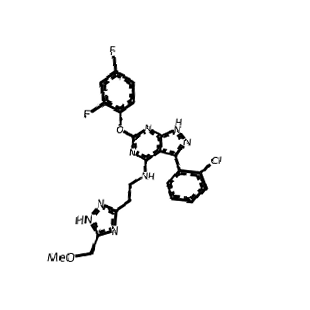 COCc1nc(CCNc2nc(Oc3ccc(F)cc3F)nc3[nH]nc(-c4ccccc4Cl)c23)n[nH]1